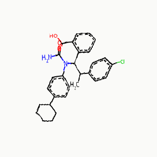 CC(c1ccc(Cl)cc1)C(c1ccccc1C(=O)O)N(C(N)=O)c1ccc(C2CCCCC2)cc1